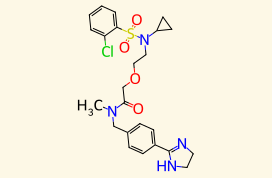 CN(Cc1ccc(C2=NCCN2)cc1)C(=O)COCCN(C1CC1)S(=O)(=O)c1ccccc1Cl